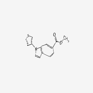 COC(=O)c1ccc2ccn(-c3ccsc3)c2c1